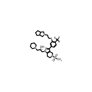 CS(=O)(=O)N1CCc2c(c(-c3ccc(C(F)(F)F)c(SCCN4CC5CCCC5C4)c3)nn2C[C@@H](O)CN2CCCCC2)C1